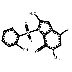 Cc1ccccc1S(=O)(=O)n1c(C)cc2c(Br)cn(C)c(=O)c21